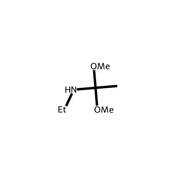 CCNC(C)(OC)OC